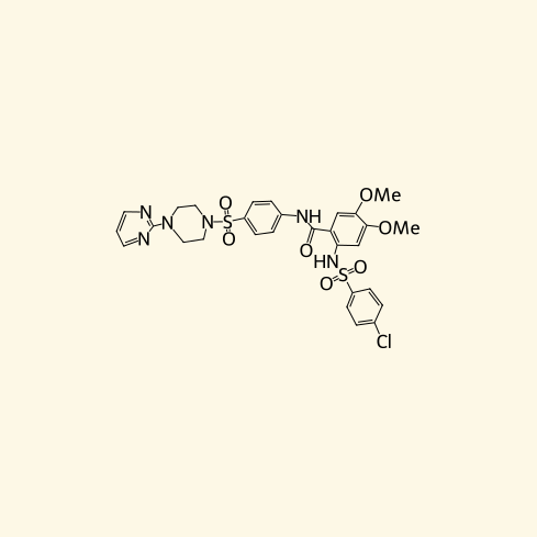 COc1cc(NS(=O)(=O)c2ccc(Cl)cc2)c(C(=O)Nc2ccc(S(=O)(=O)N3CCN(c4ncccn4)CC3)cc2)cc1OC